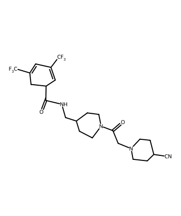 N#CC1CCN(CC(=O)N2CCC(CNC(=O)C3C=C(C(F)(F)F)C=C(C(F)(F)F)C3)CC2)CC1